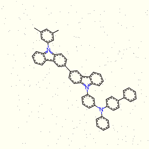 Cc1cc(C)cc(-n2c3ccccc3c3cc(-c4ccc5c(c4)c4ccccc4n5-c4cccc(N(c5ccccc5)c5ccc(-c6ccccc6)cc5)c4)ccc32)c1